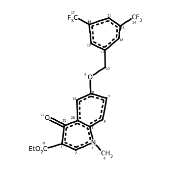 CCOC(=O)c1cn(C)c2ccc(OCc3cc(C(F)(F)F)cc(C(F)(F)F)c3)cc2c1=O